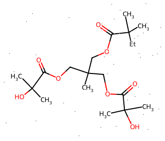 CCC(C)(C)C(=O)OCC(C)(COC(=O)C(C)(C)O)COC(=O)C(C)(C)O